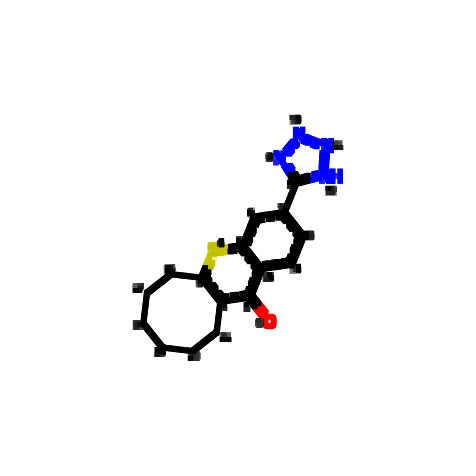 O=c1c2c(sc3cc(-c4nnn[nH]4)ccc13)CCCCCC2